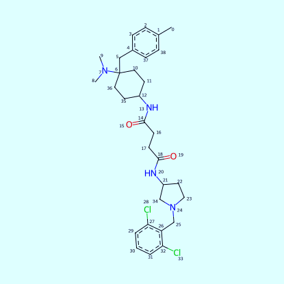 Cc1ccc(CC2(N(C)C)CCC(NC(=O)CCC(=O)NC3CCN(Cc4c(Cl)cccc4Cl)C3)CC2)cc1